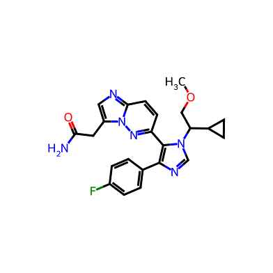 COCC(C1CC1)n1cnc(-c2ccc(F)cc2)c1-c1ccc2ncc(CC(N)=O)n2n1